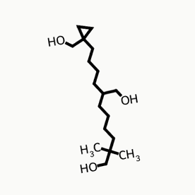 CC(C)(CO)CCCCC(CO)CCCCC1(CO)CC1